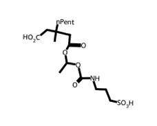 CCCCCC(C)(CC(=O)O)CC(=O)OC(C)OC(=O)NCCCS(=O)(=O)O